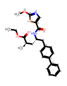 CCOC(=O)[C@H](C)C[C@@H](Cc1ccc(-c2ccccc2)cc1)NC(=O)c1cnc(OC)s1